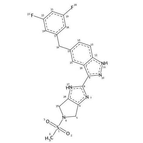 CS(=O)(=O)N1Cc2nc(-c3n[nH]c4ccc(Cc5cc(F)cc(F)c5)cc34)[nH]c2C1